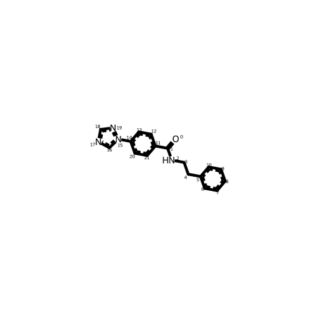 O=C(NCCc1ccccc1)c1ccc(-n2cncn2)cc1